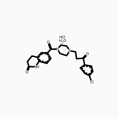 Cl.O.O=C1CCc2cc(C(=O)N3CCN(CCC(=O)c4ccc(Cl)cc4)CC3)ccc2N1